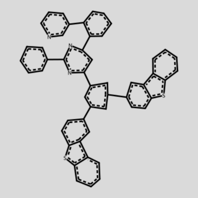 c1ccc(-c2nc(-c3cc(-c4ccc5sc6ccccc6c5c4)cc(-c4ccc5sc6ccccc6c5c4)c3)cc(-c3ccccc3-c3cccnc3)n2)cc1